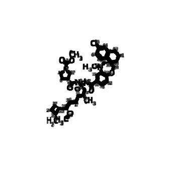 COC(=O)N1CC[C@@H](C(=O)NS(=O)(C[C@@H](C)C/C=C/[C@H](OC)[C@@H]2CC[C@H]2C)=NC(=O)c2ccc3c(c2)N(C)C[C@@]2(CCCc4cc(Cl)ccc42)CO3)C1